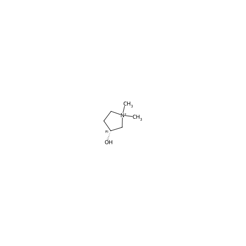 C[N+]1(C)CC[C@@H](O)C1